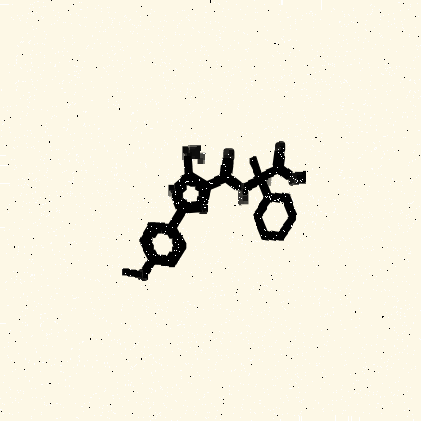 COc1ccc(-c2nc(N)c(C(=O)N[C@](C)(C(=O)O)C3CCCCC3)s2)cc1